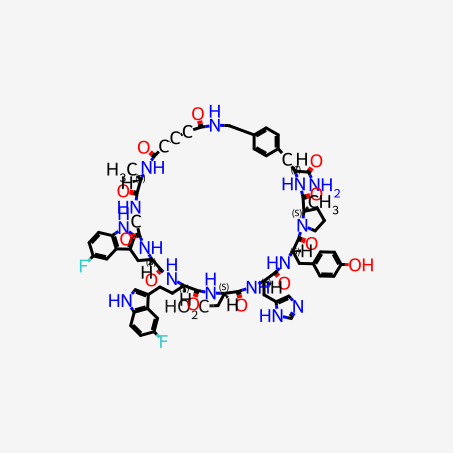 C[C@@H]1NC(=O)CCCC(=O)NCc2ccc(cc2)C[C@@H](C(N)=O)NC(=O)[C@]2(C)CCCN2C(=O)[C@H](Cc2ccc(O)cc2)NC(=O)[C@H](Cc2cnc[nH]2)NC(=O)[C@H](CC(=O)O)NC(=O)[C@H](CCc2c[nH]c3ccc(F)cc23)NC(=O)[C@H](Cc2c[nH]c3ccc(F)cc23)NC(=O)CNC1=O